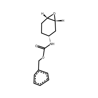 O=C(N[C@@H]1CC[C@@H]2O[C@@H]2C1)OCc1ccccc1